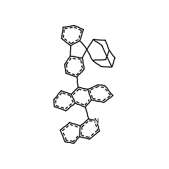 c1ccc2c(c1)-c1ccc(-c3c4ccccc4c(-c4nccc5ccccc45)c4ccccc34)cc1C21C2CC3CC(C2)CC1C3